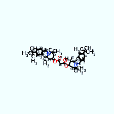 CC(C)(C)c1ccc(CN2C(C)(C)CC(OC(=O)CC(=O)OC3CC(C)(C)N(Cc4ccc(C(C)(C)C)cc4)C(C)(C)C3)CC2(C)C)cc1